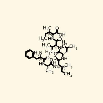 CC[C@H](C)[C@H](NC(=O)[C@@H](NC(=O)[C@H](CC(C)C)NC(=O)[C@@H](NC(=O)[C@H](C)NC(=O)[C@@H](N)Cc1ccccc1)[C@@H](C)CC)C(C)C)C(=O)O